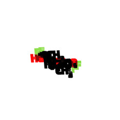 C[C@H](CCC1(O)CCC(OC(F)F)CC1)[C@H]1CC[C@H]2[C@@H]3CC4[C@](C)(CC[C@@]4(O)C(F)(F)F)[C@H]3CC[C@]12C